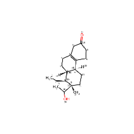 CC[C@H]1[C@@H]2CCC3=C(CCC(=O)C3)[C@H]2CC[C@]1(C)C(C)O